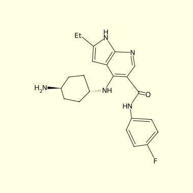 CCc1cc2c(N[C@H]3CC[C@H](N)CC3)c(C(=O)Nc3ccc(F)cc3)cnc2[nH]1